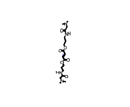 CN(C)CC(=O)NCCCOC(=O)/C=C/C(=O)OCCCNC(=O)CN(C)C